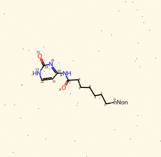 CCCCCCCCCCCCCCCC(=O)Nc1cc[nH]c(=O)n1